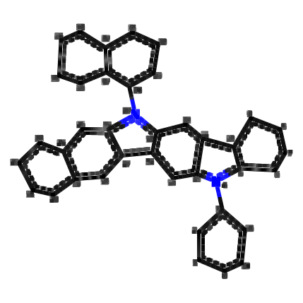 c1ccc(-n2c3ccccc3c3cc4c(cc32)c2cc3ccccc3cc2n4-c2cccc3ccccc23)cc1